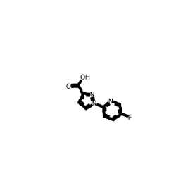 O=C(O)c1ccn(-c2ccc(F)cn2)n1